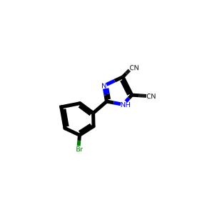 N#Cc1nc(-c2cccc(Br)c2)[nH]c1C#N